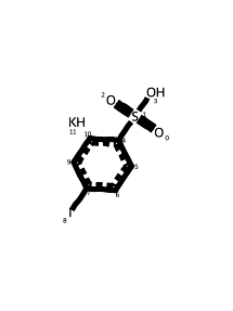 O=S(=O)(O)c1ccc(I)cc1.[KH]